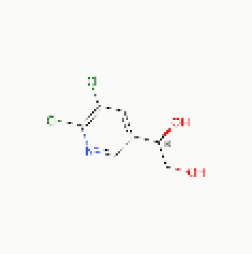 OC[C@H](O)c1cnc(Cl)c(Cl)c1